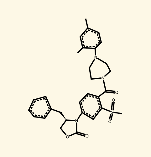 Cc1ccc(N2CCN(C(=O)c3ccc(N4C(=O)OC[C@H]4Cc4ccccc4)cc3S(C)(=O)=O)CC2)c(C)c1